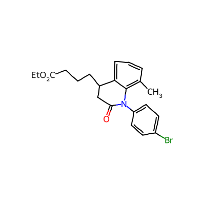 CCOC(=O)CCCC1CC(=O)N(c2ccc(Br)cc2)c2c(C)cccc21